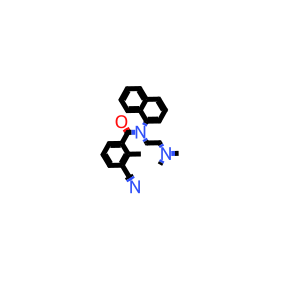 Cc1c(C#N)cccc1C(=O)N(CCN(C)C)c1cccc2ccccc12